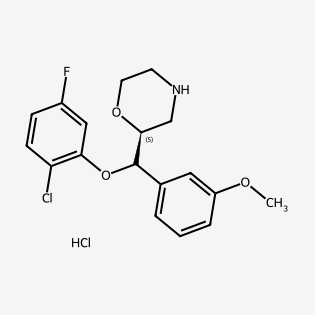 COc1cccc(C(Oc2cc(F)ccc2Cl)[C@@H]2CNCCO2)c1.Cl